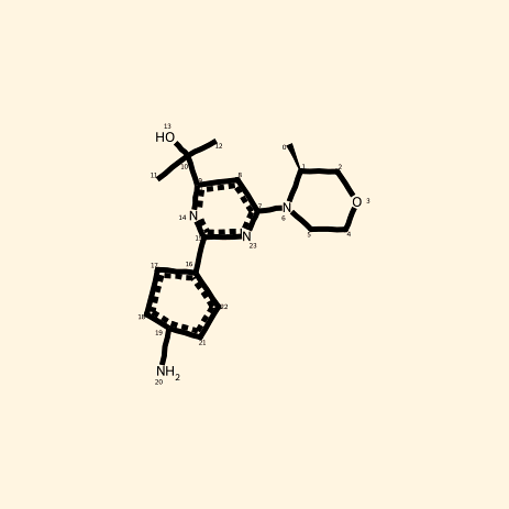 C[C@H]1COCCN1c1cc(C(C)(C)O)nc(-c2ccc(N)cc2)n1